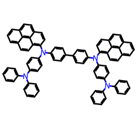 c1ccc(N(c2ccccc2)c2ccc(N(c3ccc(-c4ccc(N(c5ccc(N(c6ccccc6)c6ccccc6)cc5)c5ccc6ccc7cccc8ccc5c6c78)cc4)cc3)c3ccc4ccc5cccc6ccc3c4c56)cc2)cc1